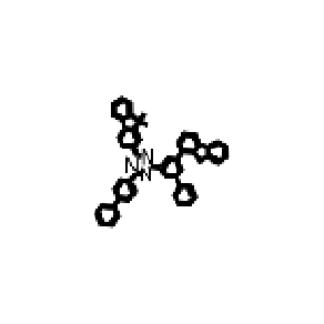 CC1(C)c2ccccc2-c2ccc(-c3nc(-c4ccc(-c5ccccc5)cc4)nc(-c4cc(-c5ccccc5)cc(-c5cccc6c5Cc5ccccc5-6)c4)n3)cc21